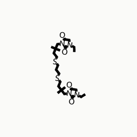 CCN1CC(=O)N(CC(C)(C)CCSCCCSCCC(C)(C)CN2C(=O)CN(CC)C2=O)C1=O